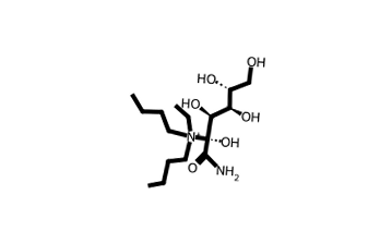 CCCC[N+](CC)(CCCC)[C@](O)(C(N)=O)[C@@H](O)[C@H](O)[C@H](O)CO